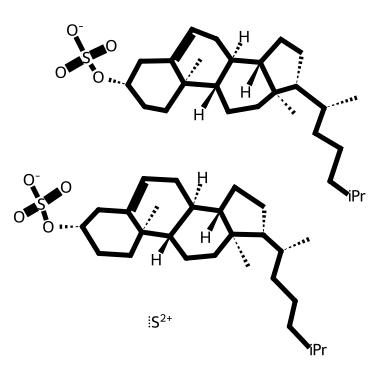 CC(C)CCC[C@@H](C)[C@H]1CC[C@H]2[C@@H]3CC=C4C[C@@H](OS(=O)(=O)[O-])CC[C@]4(C)[C@H]3CC[C@]12C.CC(C)CCC[C@@H](C)[C@H]1CC[C@H]2[C@@H]3CC=C4C[C@@H](OS(=O)(=O)[O-])CC[C@]4(C)[C@H]3CC[C@]12C.[S+2]